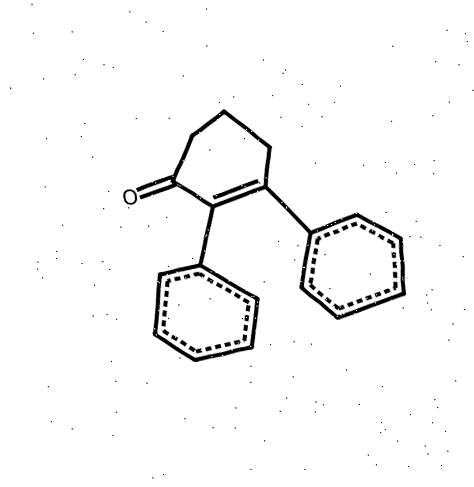 O=C1CCCC(c2ccccc2)=C1c1ccccc1